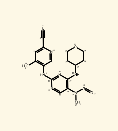 Cc1cc(C#N)ncc1Nc1ncc(N(C)N=O)c(NC2CCOCC2)n1